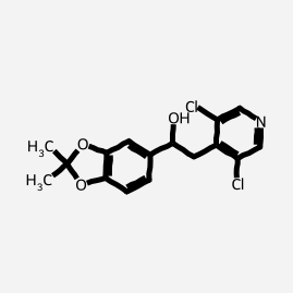 CC1(C)Oc2ccc(C(O)Cc3c(Cl)cncc3Cl)cc2O1